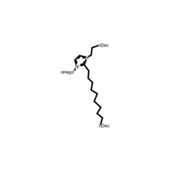 CCCCCCCCCCCCCCCCCCCc1n(CCCCCCCCCCCC)cc[n+]1CCCCCCC